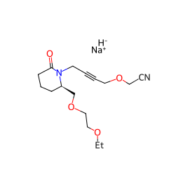 CCOCCOC[C@H]1CCCC(=O)N1CC#CCOCC#N.[H-].[Na+]